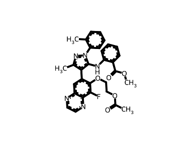 COC(=O)c1ccccc1Nc1c(-c2cc3nccnc3c(F)c2OCCOC(C)=O)c(C)nn1-c1ccccc1C